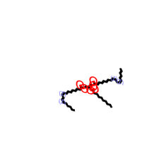 CCCCC/C=C\C/C=C\CCCCCCCC(=O)OCC(COC(=O)CCCCCCC/C=C\C/C=C\CCCCC)OC(=O)CCCCCCCCC